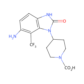 Nc1ccc2[nH]c(=O)n(C3CCN(C(=O)O)CC3)c2c1C(F)(F)F